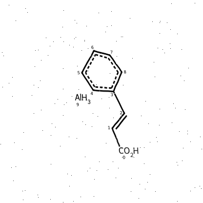 O=C(O)C=Cc1ccccc1.[AlH3]